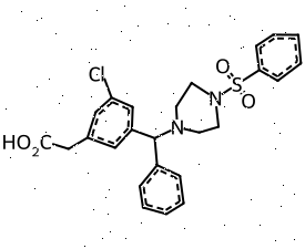 O=C(O)Cc1cc(Cl)cc(C(c2ccccc2)N2CCN(S(=O)(=O)c3ccccc3)CC2)c1